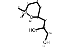 C[Si]1(C)CCCC(CC(O)CO)O1